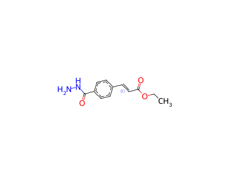 CCOC(=O)/C=C/c1ccc(C(=O)NN)cc1